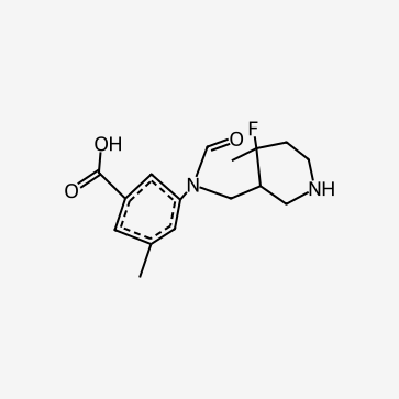 Cc1cc(C(=O)O)cc(N(C=O)CC2CNCCC2(C)F)c1